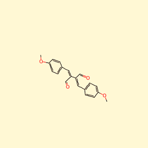 COc1ccc(C=C(C=O)C(C=O)=Cc2ccc(OC)cc2)cc1